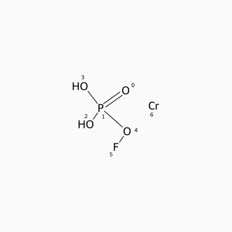 O=P(O)(O)OF.[Cr]